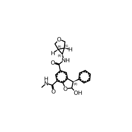 CNC(=O)c1cc(C(=O)N[C@H]2[C@@H]3COC[C@@H]32)cc2c1OC(O)[C@@H]2c1ccccc1